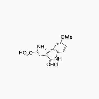 COc1ccc2[nH]c(=O)c(CC(N)C(=O)O)cc2c1.Cl